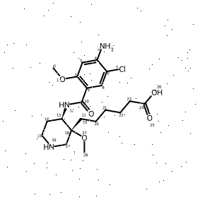 COc1cc(N)c(Cl)cc1C(=O)N[C@@H]1CCNC[C@@]1(CCCCCC(=O)O)OC